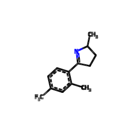 Cc1cc(C(F)(F)F)ccc1C1=NC(C)CC1